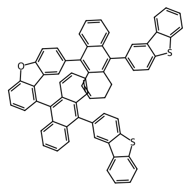 C1=Cc2c(c(-c3ccc4sc5ccccc5c4c3)c3ccccc3c2-c2ccc3oc4cccc(-c5c6ccccc6c(-c6ccc7sc8ccccc8c7c6)c6ccccc56)c4c3c2)CC1